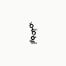 CNS(=O)(=O)c1ccc(N2CCc3[nH]c(C4CCC(C)(F)CC4)cc3C2)c(C)c1